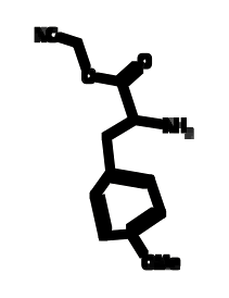 COc1ccc(CC(N)C(=O)OCC#N)cc1